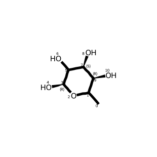 CC1O[C@@H](O)C(O)[C@@H](O)[C@H]1O